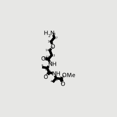 COC(=O)C(C)NC(=O)C(C)NC(=O)CCOCCN